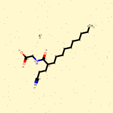 CCCCCCCCCCC(CCC#N)C(=O)NCC(=O)[O-].[K+]